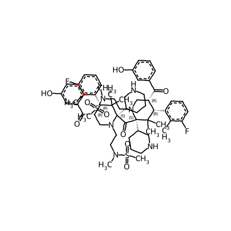 Cc1c(F)cccc1[C@H]1[C@@H](C(=O)c2cccc(O)c2)CN(CCN(C)S(C)(=O)=O)[C@@](C(=O)[C@@]2(C3CCCNC3)N(CCN(C)S(C)(=O)=O)C[C@H](C(=O)c3cccc(O)c3)[C@H](c3cccc(F)c3C)C2(C)C)(C2CCCNC2)C1(C)C